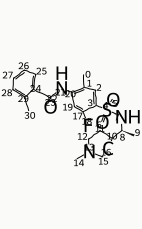 Cc1cc(S(=O)(=O)N[C@@H](C)C2CCN(C)CC2)c(F)cc1NC(=O)c1ccccc1C